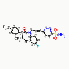 NS(=O)(=O)c1ccc(C#CCN2C(=O)C(c3ccc(C(F)(F)F)cc3C(F)(F)F)CCc3cc(F)ccc32)nn1